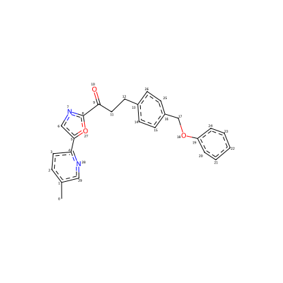 Cc1ccc(-c2cnc(C(=O)CCc3ccc(COc4ccccc4)cc3)o2)nc1